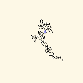 Nc1ccc(S(=O)(=O)N2CCN(c3cc(NC4CC4)n4ncc(/C=C5\NC(=O)NC5=O)c4n3)CC2)cc1